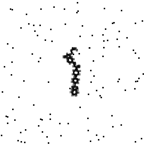 NCCc1c[nH]c2ccc(OCC(=O)N3CCN(c4ccc(-c5nc6ccccc6s5)cc4)CC3)cc12